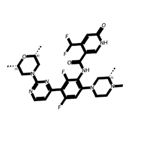 C[C@@H]1CN(c2nccc(-c3c(F)cc(N4CCN(C)[C@@H](C)C4)c(NC(=O)c4c[nH]c(=O)cc4C(F)F)c3F)n2)C[C@H](C)O1